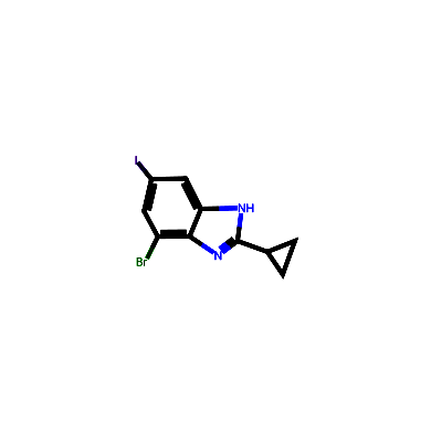 Brc1cc(I)cc2[nH]c(C3CC3)nc12